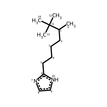 CC(CCCCc1ncc[nH]1)C(C)(C)C